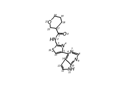 O=C(Nc1nc(-c2ncnc3[nH]ccc23)cs1)C1CCCOC1